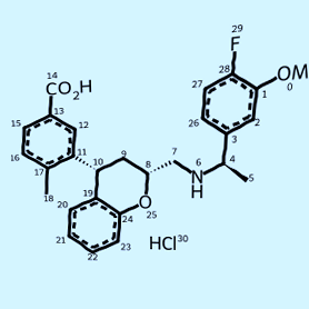 COc1cc([C@@H](C)NC[C@H]2C[C@@H](c3cc(C(=O)O)ccc3C)c3ccccc3O2)ccc1F.Cl